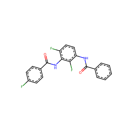 O=C(Nc1ccc(F)c(NC(=O)c2ccc(F)cc2)c1F)c1ccccc1